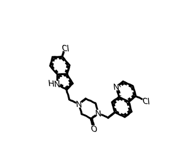 O=C1CN(Cc2cc3cc(Cl)ccc3[nH]2)CCN1Cc1ccc2c(Cl)ccnc2c1